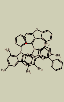 Bc1cc(B)c2c(c1)c1c(B)c(B)c3c4cc(B)cc(B)c4n(-c4cccc5oc6cccc(-c7nc(-c8ccccc8)nc(-c8ccccc8)n7)c6c45)c3c1n2-c1ccccc1